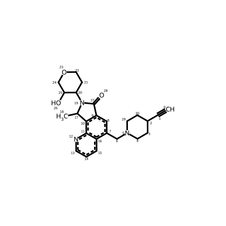 C#CC1CCN(Cc2cc3c(c4ncccc24)C(C)N(C2CCOCC2O)C3=O)CC1